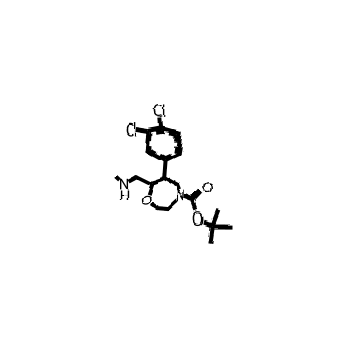 CNCC1OCCN(C(=O)OC(C)(C)C)CC1c1ccc(Cl)c(Cl)c1